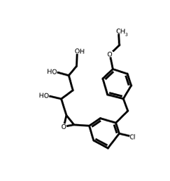 CCOc1ccc(Cc2cc(C3OC3C(O)CC(O)CO)ccc2Cl)cc1